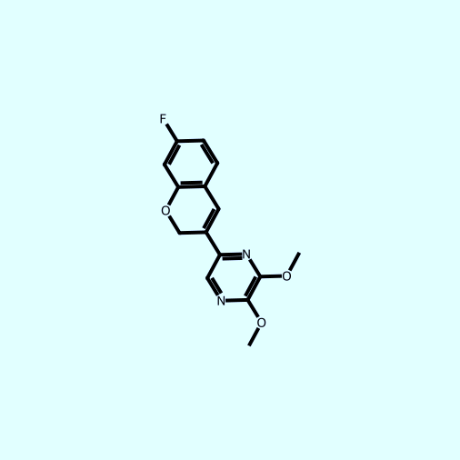 COc1ncc(C2=Cc3ccc(F)cc3OC2)nc1OC